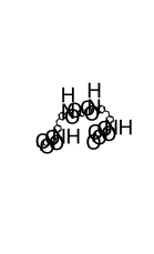 C=C(C)C(=O)OCC(C)OC(=O)Nc1ccc(Cc2ccc(NC(=O)Oc3cccc(OC(=O)Nc4ccc(Cc5ccc(NC(=O)OC(C)COC(=O)C(C)=O)cc5)cc4)c3)cc2)cc1